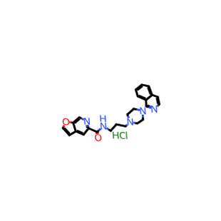 Cl.O=C(NCCCN1CCN(c2nccc3ccccc23)CC1)c1cc2ccoc2cn1